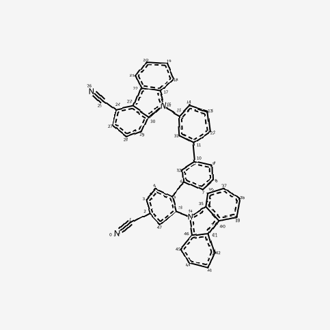 N#Cc1ccc(-c2cccc(-c3cccc(-n4c5ccccc5c5c(C#N)cccc54)c3)c2)c(-n2c3ccccc3c3ccccc32)c1